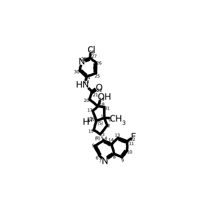 CC12C[C@H](c3ccnc4ccc(F)cc34)C[C@H]1CC(O)(CC(=O)Nc1ccc(Cl)nc1)C2